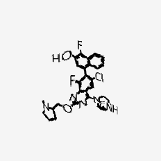 CN1CCCC1COc1nc(N2CC3CCCC2CN3)c2cc(Cl)c(-c3cc(O)c(F)c4ccccc34)c(F)c2n1